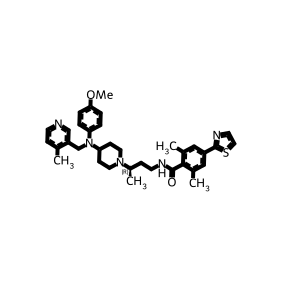 COc1ccc(N(Cc2cnccc2C)C2CCN([C@H](C)CCNC(=O)c3c(C)cc(-c4nccs4)cc3C)CC2)cc1